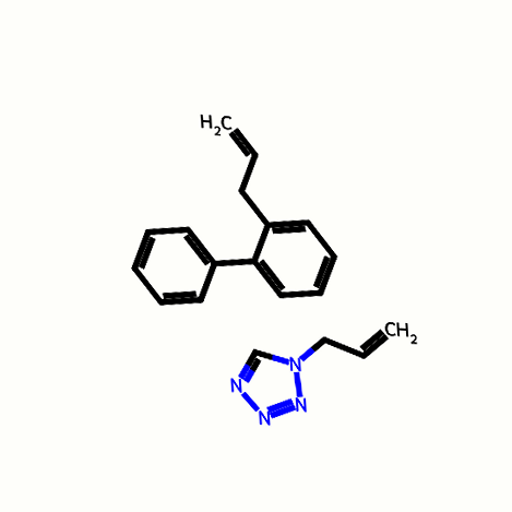 C=CCc1ccccc1-c1ccccc1.C=CCn1cnnn1